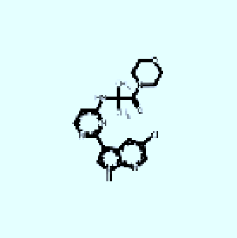 CC(C)(Nc1ccnc(-c2c[nH]c3ncc(Cl)cc23)n1)C(=O)N1CCOCC1